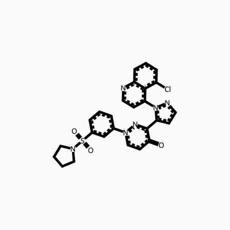 O=c1ccn(-c2cccc(S(=O)(=O)N3CCCC3)c2)nc1-c1ccnn1-c1ccnc2cccc(Cl)c12